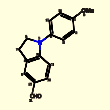 COc1ccc(N2CCc3cc(C=O)ccc32)cc1